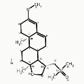 COC1=CC2=CCC3C(CC[C@]4(C)OC[C@@H](C[S+](C)(C)=O)C34)[C@@]2(C)CC1.[I-]